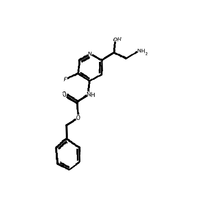 NCC(O)c1cc(NC(=O)OCc2ccccc2)c(F)cn1